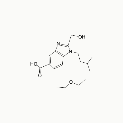 CC(C)CCn1c(CO)nc2cc(C(=O)O)ccc21.CCOCC